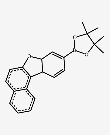 CC1(C)OB(C2=CC3Oc4ccc5ccccc5c4C3C=C2)OC1(C)C